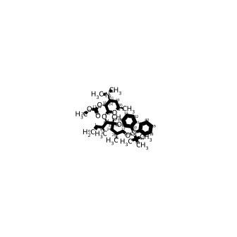 C=C[C@H](C)[C@@H](OC1O[C@H](C)C[C@H](N(C)C)[C@H]1OC(=O)OC)[C@](C)(O)C[C@@H](C)CO[Si](c1ccccc1)(c1ccccc1)C(C)(C)C